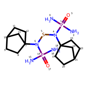 NP(N)(=O)N(SN(C12CCC(CC1)C2)P(N)(N)=O)C12CCC(CC1)C2